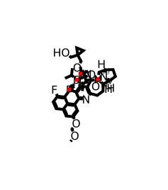 COCOc1cc(-c2nc3c4c(nc(OCC5(CO)CC5)nc4c2F)N2C[C@H]4CC[C@@H]([C@H]2CC3)N4C(=O)OC(C)(C)C)c2c(C#C[Si](C(C)C)(C(C)C)C(C)C)c(F)ccc2c1